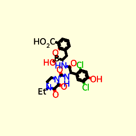 CCN1CCN(C(=O)N[C@H](C(=O)N[C@H]2Cc3cccc(C(=O)O)c3OB2O)c2cc(Cl)c(O)cc2Cl)C(=O)C1=O